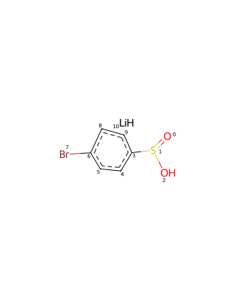 O=S(O)c1ccc(Br)cc1.[LiH]